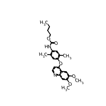 CCCCOC(=O)Nc1cc(C)c(Oc2ccnc3cc(OC)c(OC)cc23)cc1C